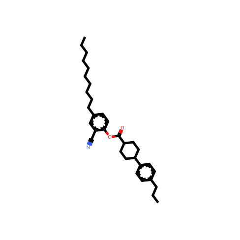 CCCCCCCCCCc1ccc(OC(=O)C2CCC(c3ccc(CCC)cc3)CC2)c(C#N)c1